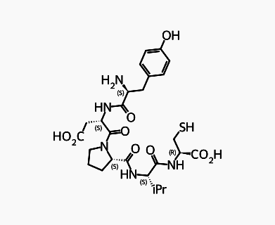 CC(C)[C@H](NC(=O)[C@@H]1CCCN1C(=O)[C@H](CC(=O)O)NC(=O)[C@@H](N)Cc1ccc(O)cc1)C(=O)N[C@@H](CS)C(=O)O